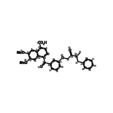 COc1cc2c(C(=O)O)cnc(C(=O)c3cccc(OCC(=O)N(C)Cc4ccccc4)c3)c2cc1OC